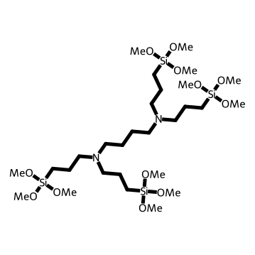 CO[Si](CCCN(CCCCN(CCC[Si](OC)(OC)OC)CCC[Si](OC)(OC)OC)CCC[Si](OC)(OC)OC)(OC)OC